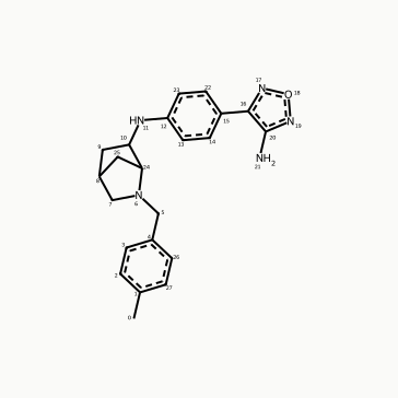 Cc1ccc(CN2CC3CC(Nc4ccc(-c5nonc5N)cc4)C2C3)cc1